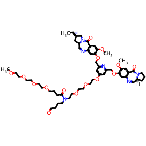 C/C=C1\CC2C=Nc3cc(OCc4cc(OCCOCCOCCN(CCCC=O)C(=O)CCCOCCOCCOCCOC)cc(COc5cc6c(cc5OC)C(=O)N5CCC[C@H]5C=N6)n4)c(OC)cc3C(=O)N2C1